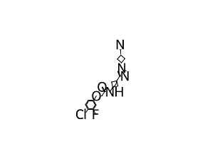 N#C[C@H]1C[C@@H](n2cnc(C34CC(NC(=O)COc5ccc(Cl)c(F)c5)(C3)C4)c2)C1